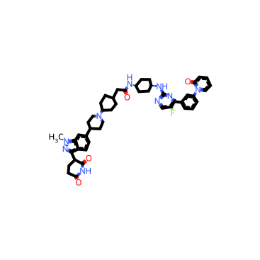 Cn1nc(C2CCC(=O)NC2=O)c2ccc(C3CCN(C4CCC(CC(=O)N[C@H]5CC[C@H](Nc6ncc(F)c(-c7cccc(-n8ccccc8=O)c7)n6)CC5)CC4)CC3)cc21